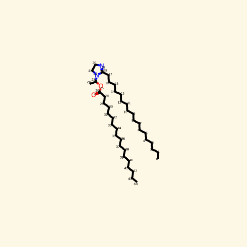 CCCCCCCCCCCCCCCCCCC1=NCCN1C(C)OC(=O)CCCCCCCCCCCCCCCCC